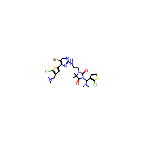 CN(C)Cc1cc(-c2nc(NCCN3C(=O)N(C(c4ccsc4Cl)N(C)C)C(=O)C3(C)C)ncc2Br)sc1Cl